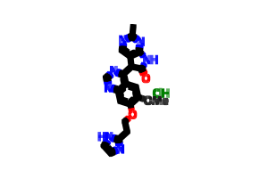 COc1cc2c(C3C(=O)Nc4nc(C)ncc43)ncnc2cc1OCCc1ncc[nH]1.Cl